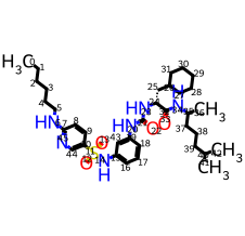 CCCCCCNc1ccc(S(=O)(=O)Nc2cccc(NC(=O)N[C@H](CC3CCCCC3)C(=O)NC(C)CCCC(C)C)c2)cn1